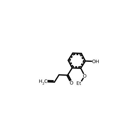 C=CCC(=O)c1cccc(O)c1OCC